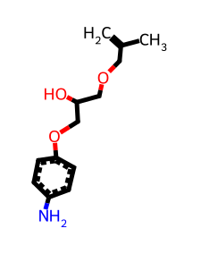 C=C(C)COCC(O)COc1ccc(N)cc1